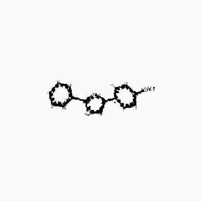 CSc1ccc(-c2coc(-c3ccccc3)n2)cc1